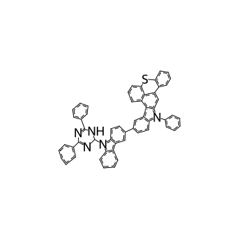 c1ccc(C2=NC(n3c4ccccc4c4cc(-c5ccc6c(c5)c5c7cccc8c7c(cc5n6-c5ccccc5)-c5ccccc5S8)ccc43)NC(c3ccccc3)=N2)cc1